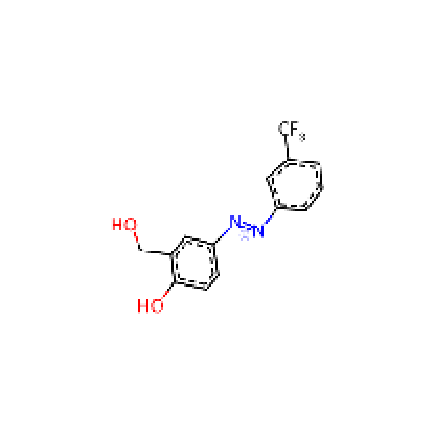 OCc1cc(/N=N/c2cccc(C(F)(F)F)c2)ccc1O